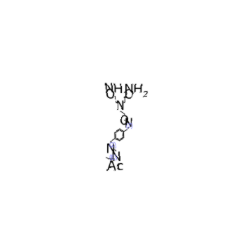 CC(=O)/C(C)=N/C/N=C\c1ccc(/C=N\OCCN(CCON)CCON)cc1